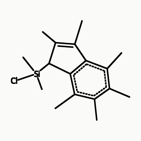 CC1=C(C)C([Si](C)(C)Cl)c2c(C)c(C)c(C)c(C)c21